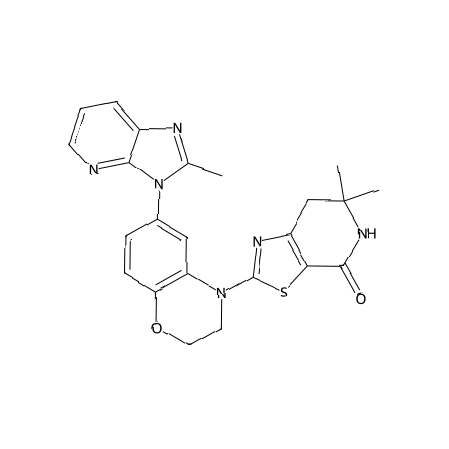 Cc1nc2cccnc2n1-c1ccc2c(c1)N(c1nc3c(s1)C(=O)NC(C)(C)C3)CCO2